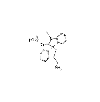 CN1C(=O)C(CCCN)(c2ccccc2)c2ccccc21.Cl.O